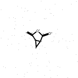 C=C1OC(=O)C2CC12